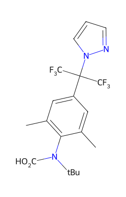 Cc1cc(C(n2cccn2)(C(F)(F)F)C(F)(F)F)cc(C)c1N(C(=O)O)C(C)(C)C